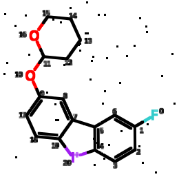 Fc1ccc2c(c1)-c1cc(OC3CCCCO3)ccc1[I+]2